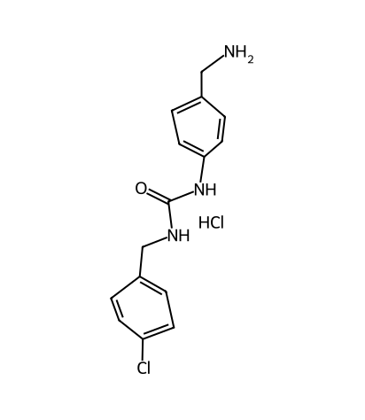 Cl.NCc1ccc(NC(=O)NCc2ccc(Cl)cc2)cc1